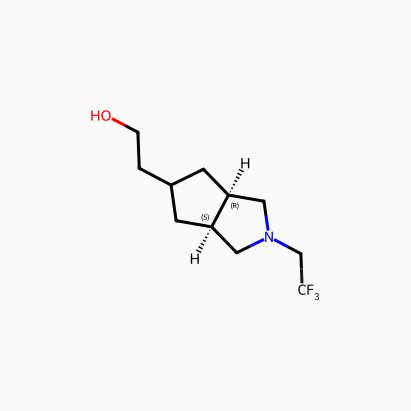 OCCC1C[C@@H]2CN(CC(F)(F)F)C[C@@H]2C1